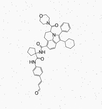 O=C/C=C/c1ccc(NC(=O)C2(NC(=O)c3ccc4c(C5CCCCC5)c(-c5ccccc5)n5c4c3CCC5C(=O)N3CCOCC3)CCCC2)cc1